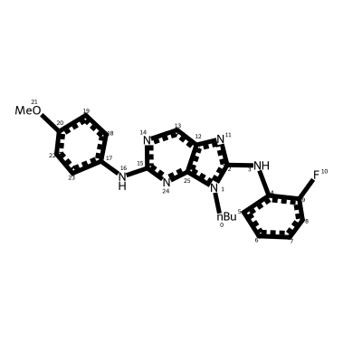 CCCCn1c(Nc2ccccc2F)nc2cnc(Nc3ccc(OC)cc3)nc21